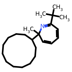 CC(C)(C)C1=NC(C)(C2CCCCCCCCCCC2)C=CC=C1